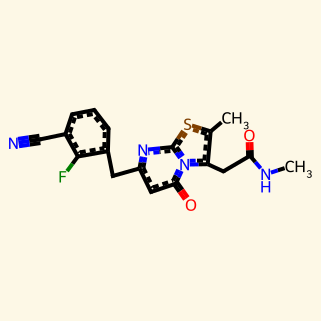 CNC(=O)Cc1c(C)sc2nc(Cc3cccc(C#N)c3F)cc(=O)n12